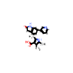 Cc1[nH]c(C)c(C(=O)O)c1C.O=C1Cc2ccc(-c3cccnc3)cc2N1